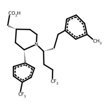 Cc1cccc(CC[C@H](CCC(F)(F)F)N2CC[C@@H](CC(=O)O)C[C@H]2c2ccc(C(F)(F)F)cc2)c1